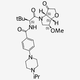 CO[C@H]1CN(C(=O)[C@@H](NC(=O)c2ccc(N3CCN(C(C)C)CC3)cc2)C(C)(C)C)[C@@H]2C(=O)CO[C@H]12